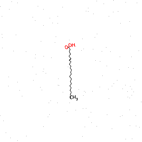 CCCCCCCCCCCCCCCCC/C=C/CCCCC(=O)O